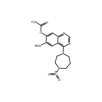 COc1cc2c(N3CCCN([SH](=O)=O)CC3)ncnc2cc1OC(N)=O